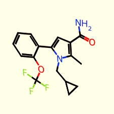 Cc1c(C(N)=O)cc(-c2ccccc2OC(F)(F)F)n1CC1CC1